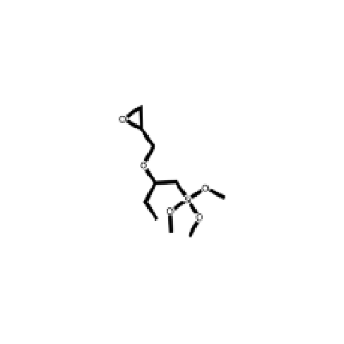 CCC(C[Si](OC)(OC)OC)OCC1CO1